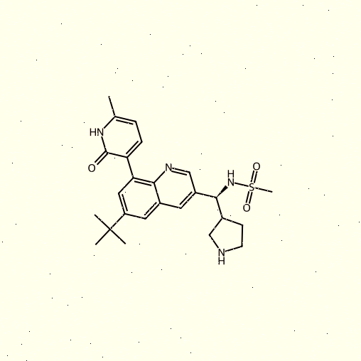 Cc1ccc(-c2cc(C(C)(C)C)cc3cc([C@@H](NS(C)(=O)=O)C4CCNC4)cnc23)c(=O)[nH]1